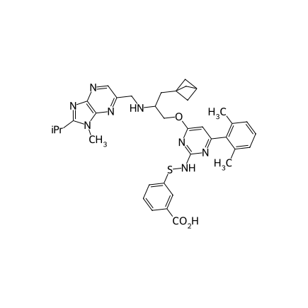 Cc1cccc(C)c1-c1cc(OCC(CC23CC(C2)C3)NCc2cnc3nc(C(C)C)n(C)c3n2)nc(NSc2cccc(C(=O)O)c2)n1